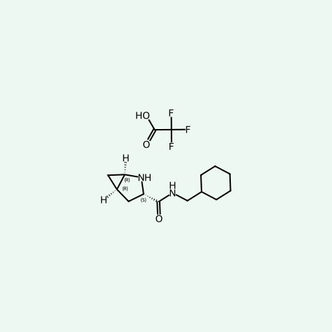 O=C(NCC1CCCCC1)[C@@H]1C[C@H]2C[C@H]2N1.O=C(O)C(F)(F)F